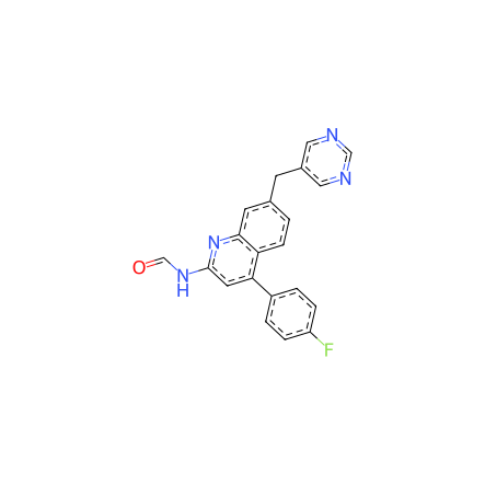 O=CNc1cc(-c2ccc(F)cc2)c2ccc(Cc3cncnc3)cc2n1